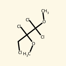 COC(Cl)(Cl)C(Cl)(CCl)OC